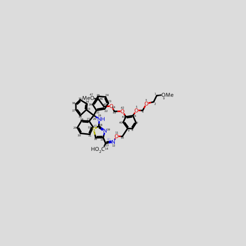 COCCOCOc1ccc(CO/N=C(/C(=O)O)c2csc(NC(c3ccccc3)(c3ccccc3)c3ccccc3)n2)cc1OCOCCOC